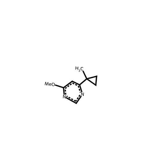 COc1cc(C2(C)CC2)ncn1